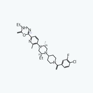 C=C(NCC)O/C(=N\C)c1ccc(N2C[C@H](CC)N(C3CCN(C(=C)c4ccc(Cl)c(F)c4)CC3)C[C@H]2C)c(C)n1